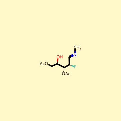 C/N=C/[C@@H](F)[C@H](OC(C)=O)[C@H](O)COC(C)=O